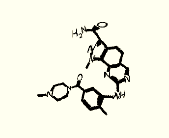 Cc1ccc(C(=O)N2CCN(C)CC2)cc1Nc1ncc2c(n1)-c1c(c(C(N)=O)nn1C)CC2